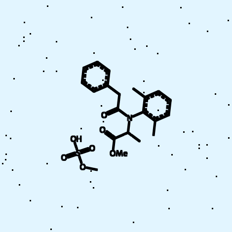 COC(=O)C(C)N(C(=O)Cc1ccccc1)c1c(C)cccc1C.COS(=O)(=O)O